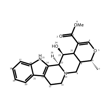 COC(=O)C1=CO[C@H](C)C2CN3CCc4c([nH]c5ccccc45)[C@H]3[C@@H](O)C12